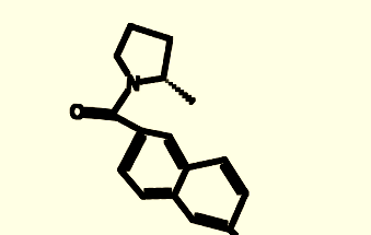 C[C@H]1CCCN1C(=O)c1ccc2cc(O)ccc2c1